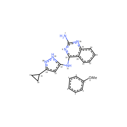 COc1ccccc1.Nc1nc(Nc2cc(C3CC3)n[nH]2)c2ccccc2n1